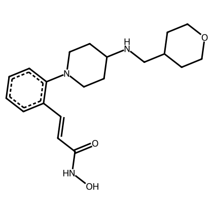 O=C(C=Cc1ccccc1N1CCC(NCC2CCOCC2)CC1)NO